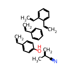 C=C(C)C#N.C=Cc1ccc(O)cc1.C=Cc1ccccc1.C=Cc1ccccc1C=C